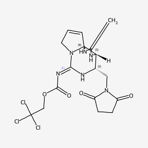 C=C1N[C@H]2[C@H](CN3C(=O)CCC3=O)N/C(=N\C(=O)OCC(Cl)(Cl)Cl)N3CC=C[C@]23N1